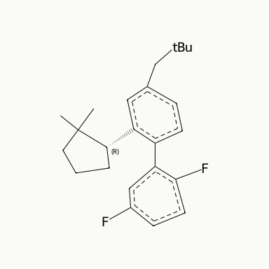 CC(C)(C)Cc1ccc(-c2cc(F)ccc2F)c([C@@H]2CCCC2(C)C)c1